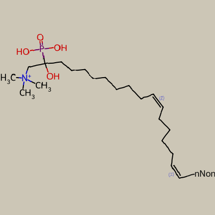 CCCCCCCCC/C=C\CCCC/C=C\CCCCCCCCC(O)(C[N+](C)(C)C)P(=O)(O)O